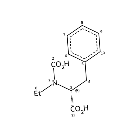 CCN(C(=O)O)[C@H](Cc1ccccc1)C(=O)O